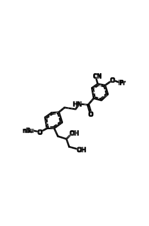 CCCCOc1ccc(CCNC(=O)c2ccc(OC(C)C)c(C#N)c2)cc1CC(O)CO